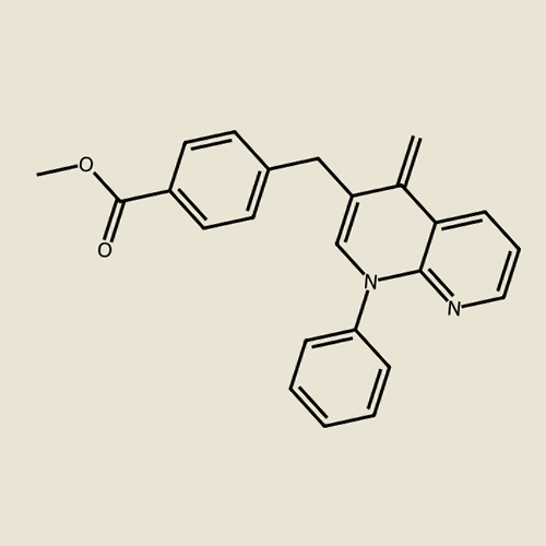 C=C1C(Cc2ccc(C(=O)OC)cc2)=CN(c2ccccc2)c2ncccc21